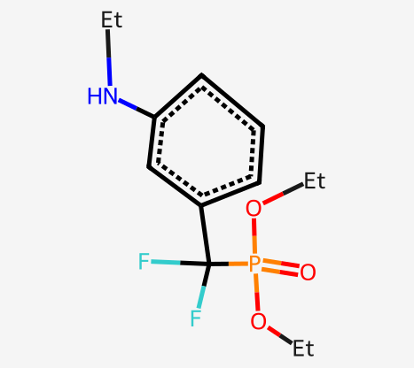 CCNc1cccc(C(F)(F)P(=O)(OCC)OCC)c1